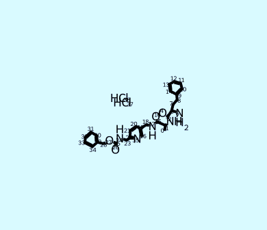 CC(NC(=O)C(N)CCc1ccccc1)C(=O)NCc1ccc(CNC(=O)OCc2ccccc2)nc1.Cl.Cl